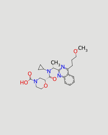 COCCCc1nc([C@@H](C)N(C(=O)[C@H]2CN(C(=O)O)CCO2)C2CC2)nc2ccccc12